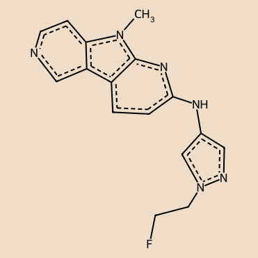 Cn1c2ccncc2c2ccc(Nc3cnn(CCF)c3)nc21